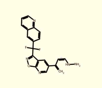 C=C(/C=C\NN)c1cnc2onc(C(F)(F)c3ccc4ncccc4c3)c2c1